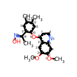 COc1cc2nccc(Oc3cc(C)c(C)cc3/C(C)=N/O)c2cc1OC